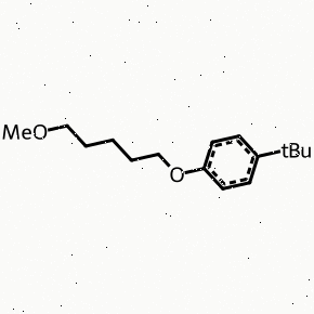 COCCCCCOc1ccc(C(C)(C)C)cc1